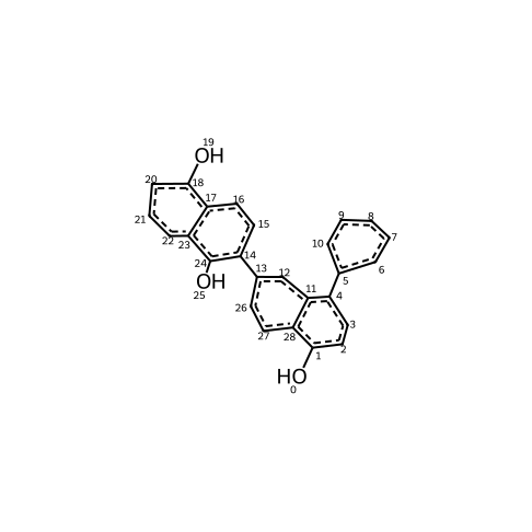 Oc1ccc(-c2ccccc2)c2cc(-c3ccc4c(O)cccc4c3O)ccc12